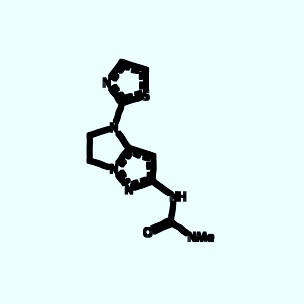 CNC(=O)Nc1cc2n(n1)CCN2c1nccs1